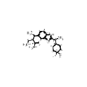 CC(c1ccc2[nH]c([C@@H](N)C3CCC(F)(F)CC3)nc2c1)C(CC(F)(F)F)C(N)=O